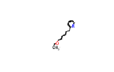 [CH2]COCCCCCCc1ccccn1